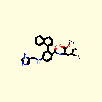 COC(=O)C(CC(C)C)NC(=O)c1ccc(NCc2cnc[nH]2)cc1-c1cccc2ccccc12